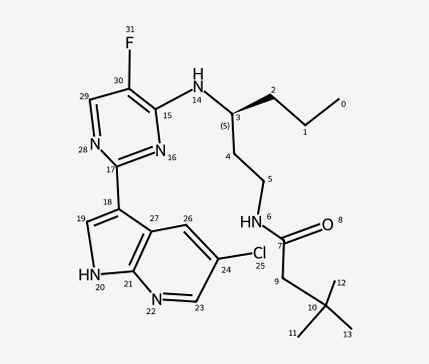 CCC[C@@H](CCNC(=O)CC(C)(C)C)Nc1nc(-c2c[nH]c3ncc(Cl)cc23)ncc1F